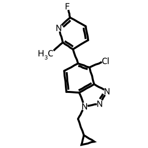 Cc1nc(F)ccc1-c1ccc2c(nnn2CC2CC2)c1Cl